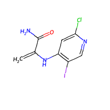 C=C(Nc1cc(Cl)ncc1I)C(N)=O